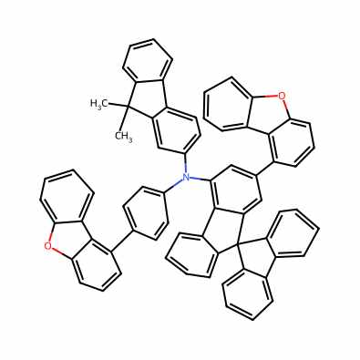 CC1(C)c2ccccc2-c2ccc(N(c3ccc(-c4cccc5oc6ccccc6c45)cc3)c3cc(-c4cccc5oc6ccccc6c45)cc4c3-c3ccccc3C43c4ccccc4-c4ccccc43)cc21